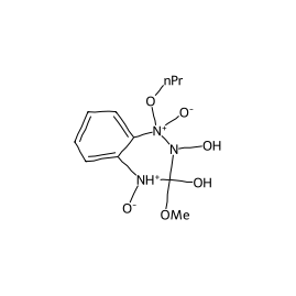 CCCO[N+]1([O-])c2ccccc2[NH+]([O-])C(O)(OC)N1O